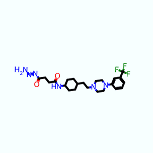 NN=NC(=O)CCC(=O)NC1CCC(CCN2CCN(c3cccc(C(F)(F)F)c3)CC2)CC1